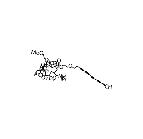 C#CC#CC#CC#CC#CCCOCCOC(=O)C(C)(CC(CC(CC)C(=O)NC(C)(C)CC(C)=O)C(=O)NC(C)C)CC(C)(C)C(=O)OCCOC